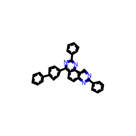 c1ccc(-c2ccc(-c3nc(-c4ccccc4)nc4c3ccc3nc(-c5ccccc5)ncc34)cc2)cc1